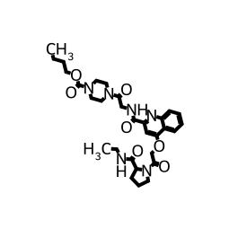 CCCCOC(=O)N1CCN(C(=O)CNC(=O)c2cc(OCC(=O)N3CCCC3C(=O)NCC)c3ccccc3n2)CC1